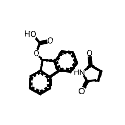 O=C(O)OC1c2ccccc2-c2ccccc21.O=C1CCC(=O)N1